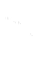 Cn1ccc([C@@H]2CCCN2C(=O)O)n1